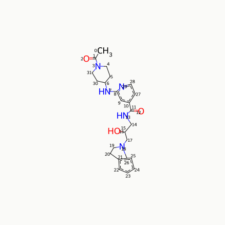 CC(=O)N1CCC(Nc2cc(C(=O)NCC(O)CN3CCc4ccccc43)ccn2)CC1